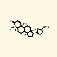 CNc1nc([C@H]2CC[C@H]3C4CC[C@H]5N(C)C(=O)C=C[C@]5(C)C4CC[C@]23C)n[nH]1